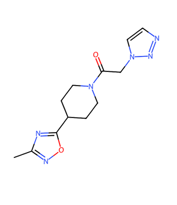 Cc1noc(C2CCN(C(=O)Cn3ccnn3)CC2)n1